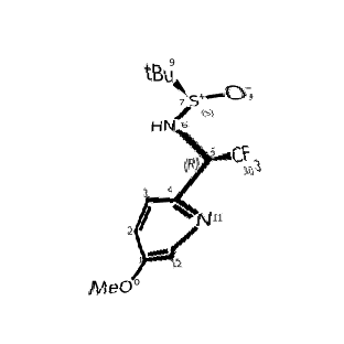 COc1ccc([C@@H](N[S@+]([O-])C(C)(C)C)C(F)(F)F)nc1